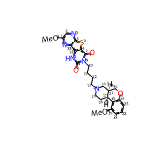 COc1cnc2sc3c(=O)n(CCCCN4CC[C@H]5c6c(OC)cccc6OC[C@@H]5C4)c(=O)[nH]c3c2n1